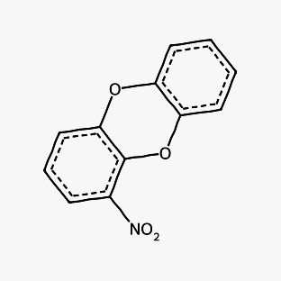 O=[N+]([O-])c1cccc2c1Oc1ccccc1O2